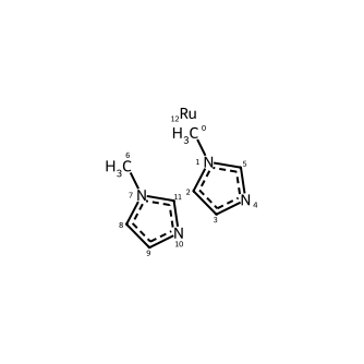 Cn1ccnc1.Cn1ccnc1.[Ru]